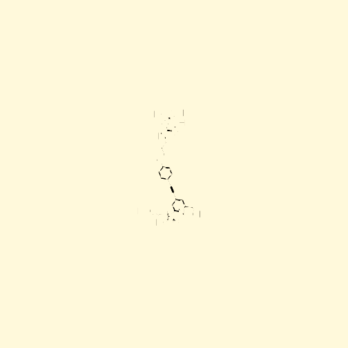 CCOP(C)(=O)c1cc(C#Cc2ccc(OCCCNC(=O)OC(C)(C)C)cc2)cc(CC)n1